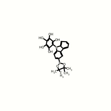 CC1(C)OB(c2ccc3c(c2)c2ccccc2n3-c2c(O)c(O)c(O)c(O)c2O)OC1(C)C